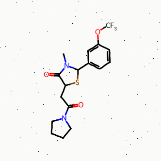 CN1C(=O)C(CC(=O)N2CCCC2)SC1c1cccc(OC(F)(F)F)c1